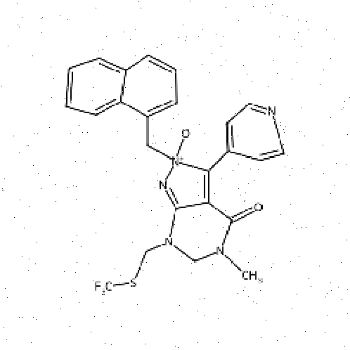 CN1CN(CSC(F)(F)F)C2=N[N+]([O-])(Cc3cccc4ccccc34)C(c3ccncc3)=C2C1=O